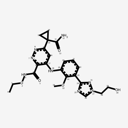 CCONC(=O)c1nnc(C2(C(N)=O)CC2)cc1Nc1cccc(-c2ncn(CCO)n2)c1OC